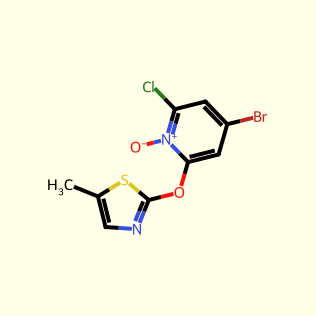 Cc1cnc(Oc2cc(Br)cc(Cl)[n+]2[O-])s1